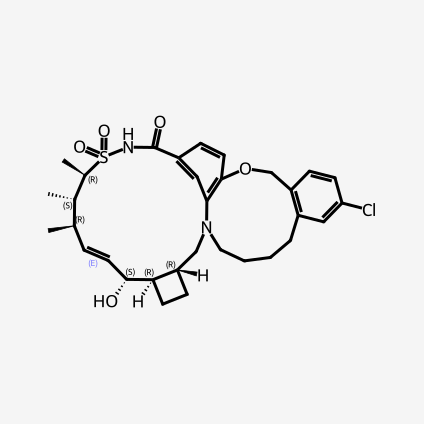 C[C@H]1[C@H](C)/C=C/[C@@H](O)[C@@H]2CC[C@H]2CN2CCCCc3cc(Cl)ccc3COc3ccc(cc32)C(=O)NS(=O)(=O)[C@@H]1C